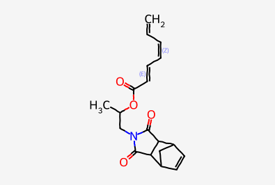 C=C/C=C\C=C\C(=O)OC(C)CN1C(=O)C2C3C=CC(C3)C2C1=O